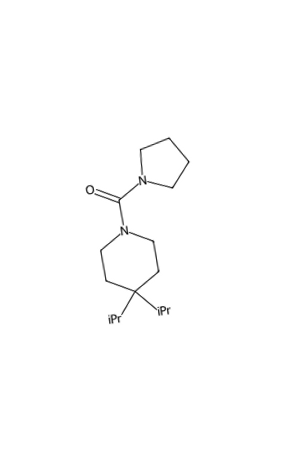 CC(C)C1(C(C)C)CCN(C(=O)N2CCCC2)CC1